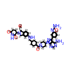 Nc1nc2cc(-c3nn(C4CCN(C(=O)C5CCC(CNc6ccc7c(c6)CN(C6CCC(=O)NC6=O)C7=C=O)CC5)CC4)c4ncnc(N)c34)ccc2o1